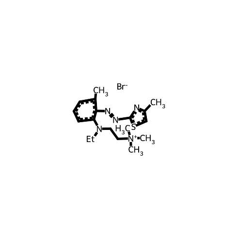 CCN(CC[N+](C)(C)C)c1cccc(C)c1N=Nc1nc(C)cs1.[Br-]